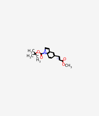 COC(=O)/C=C/c1ccc2c(ccn2C(=O)OC(C)(C)C)c1